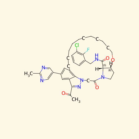 CC(=O)c1nn2c3c(cc(-c4cnc(C)nc4)cc13)CCCCCCCCCCCO[C@@H]1CCN(C(=O)C2)[C@@H]1C(=O)NCc1cccc(Cl)c1F